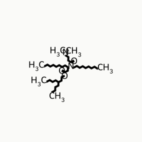 CCCCCCCCCCN(C(=O)CCCN(C)C)C(CCCCCCCCC)CC(=O)OCCC(CCCCC)CCCCC